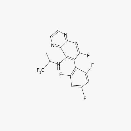 CC(Nc1c(-c2c(F)cc(F)cc2F)c(F)nc2nccnc12)C(F)(F)F